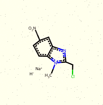 Cn1c(CCl)nc2cc([N+](=O)[O-])ccc21.[H-].[Na+]